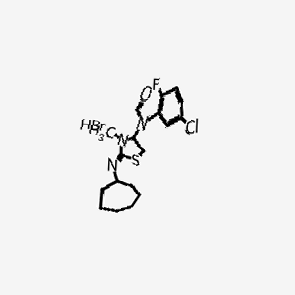 Br.CN1C(=NC2CCCCCC2)SCC1N(C=O)c1cc(Cl)ccc1F